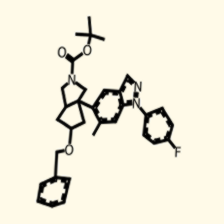 Cc1cc2c(cnn2-c2ccc(F)cc2)cc1C12CC(OCc3ccccc3)CC1CN(C(=O)OC(C)(C)C)C2